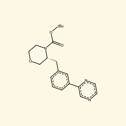 CC(C)(C)OC(=O)N1CCOC[C@H]1Cc1cccc(-c2cnccn2)c1